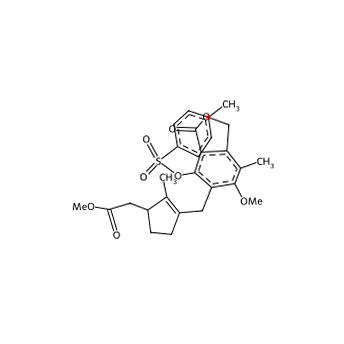 COC(=O)CC1CCC(Cc2c(OC)c(C)c3c(c2OS(=O)(=O)c2ccc(C)cc2)C(=O)OC3)=C1C